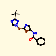 CC(C)(C)c1ncn(Sc2ncc(NC(=O)c3ccccc3)s2)n1